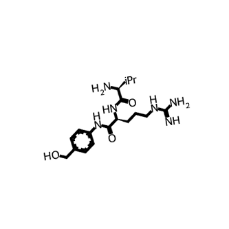 CC(C)[C@H](N)C(=O)N[C@@H](CCCNC(=N)N)C(=O)Nc1ccc(CO)cc1